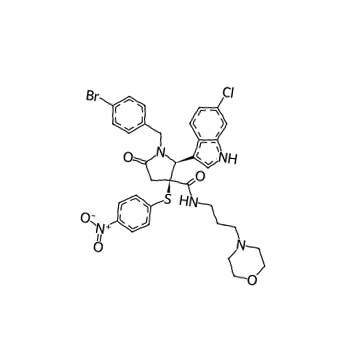 O=C1C[C@@](Sc2ccc([N+](=O)[O-])cc2)(C(=O)NCCCN2CCOCC2)[C@H](c2c[nH]c3cc(Cl)ccc23)N1Cc1ccc(Br)cc1